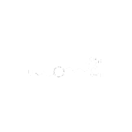 C=COCc1ccc(COCC[Si](OC)(OC)OC)cc1